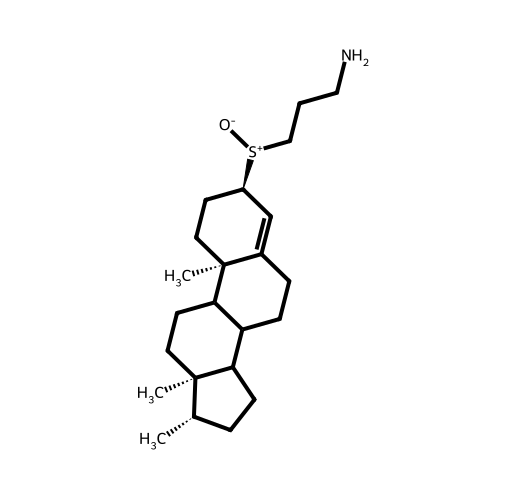 C[C@H]1CCC2C3CCC4=C[C@H]([S+]([O-])CCCN)CC[C@]4(C)C3CC[C@@]21C